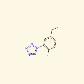 CCc1ccc(C)c(-n2cnnn2)c1